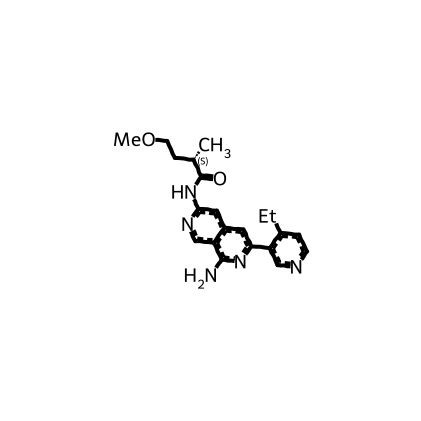 CCc1ccncc1-c1cc2cc(NC(=O)[C@@H](C)CCOC)ncc2c(N)n1